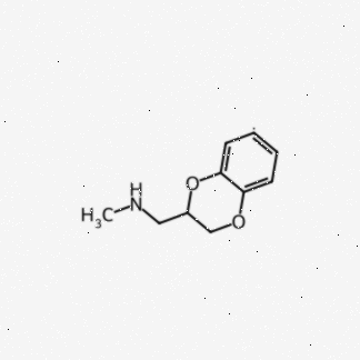 CNCC1COc2cc[c]cc2O1